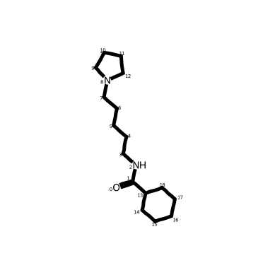 O=C(NCCCCCN1C[CH]CC1)C1CCCCC1